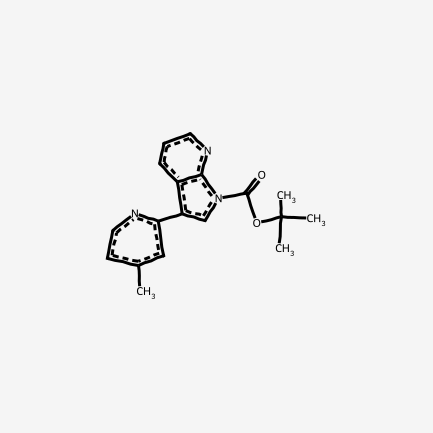 Cc1ccnc(-c2cn(C(=O)OC(C)(C)C)c3ncccc23)c1